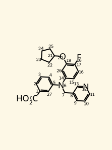 O=C(O)c1cccc(N(Cc2cccnc2)c2ccc(F)c(OC3CCCC3)c2)c1